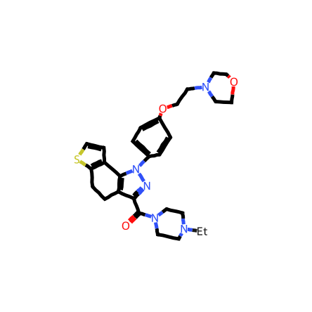 CCN1CCN(C(=O)c2nn(-c3ccc(OCCN4CCOCC4)cc3)c3c2CCc2sccc2-3)CC1